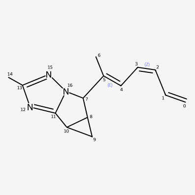 C=C/C=C\C=C(/C)C1C2CC2c2nc(C)nn21